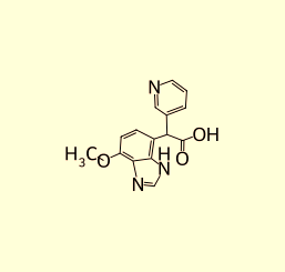 COc1ccc(C(C(=O)O)c2cccnc2)c2[nH]cnc12